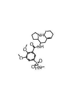 CNS(=O)(=O)c1cc(OC)c(OC)c(C(=O)NC(CC2=CCCCC2)C2CCCN2)c1